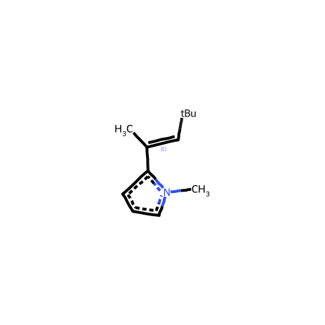 C/C(=C\C(C)(C)C)c1cccn1C